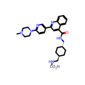 CN1CCN(c2ccc(-c3cc(C(=O)NC[C@H]4CC[C@H](CNC(=O)O)CC4)c4ccccc4n3)cn2)CC1